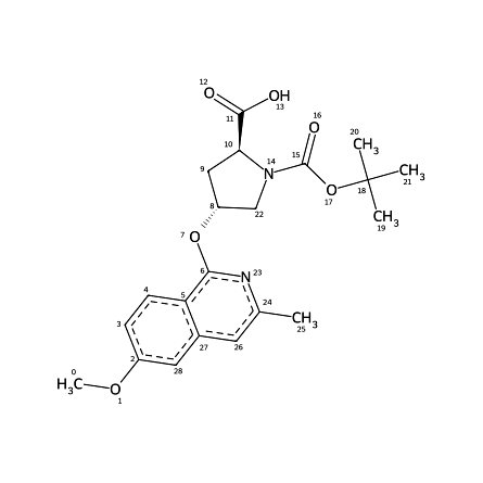 COc1ccc2c(O[C@@H]3C[C@@H](C(=O)O)N(C(=O)OC(C)(C)C)C3)nc(C)cc2c1